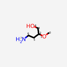 COC(CO)CCN